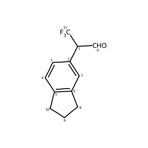 O=CC(c1ccc2c(c1)CCC2)C(F)(F)F